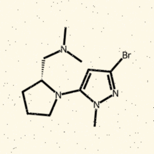 CN(C)C[C@H]1CCCN1c1cc(Br)nn1C